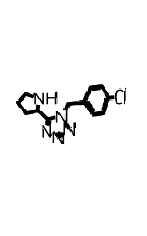 Clc1ccc(Cn2nnnc2C2CCCN2)cc1